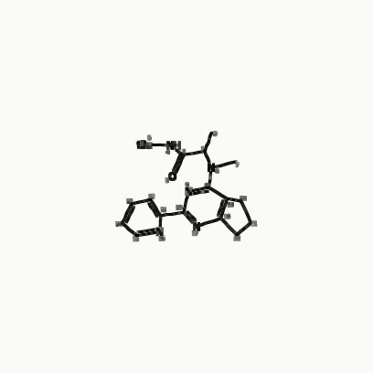 CC(C(=O)NC(C)(C)C)N(C)c1nc(-c2ccccn2)nc2c1CCC2